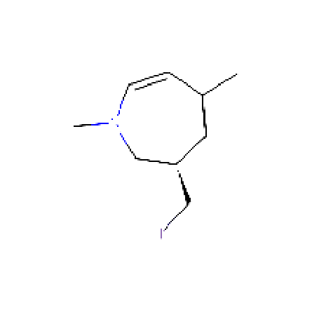 CC1C=CN(C)C[C@H](CI)C1